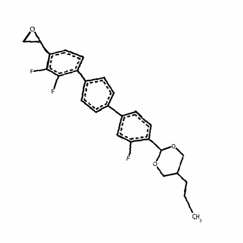 CCCC1COC(c2ccc(-c3ccc(-c4ccc(C5CO5)c(F)c4F)cc3)cc2F)OC1